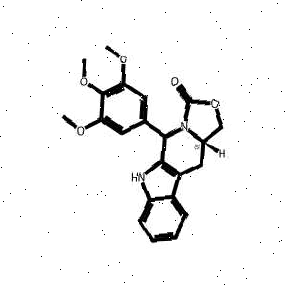 COc1cc(C2c3[nH]c4ccccc4c3C[C@H]3COC(=O)N23)cc(OC)c1OC